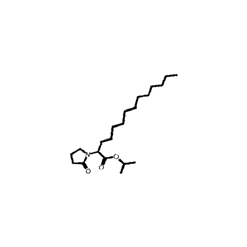 CCCCCCCCCCCCC(C(=O)OC(C)C)N1CCCC1=O